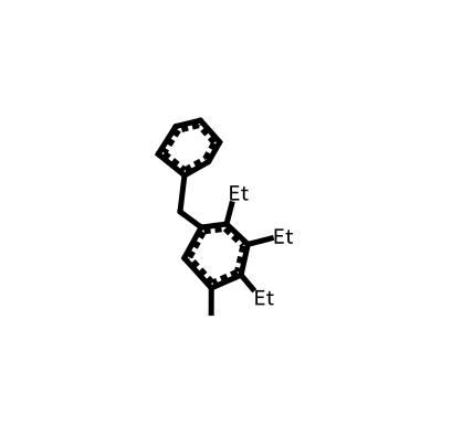 CCc1c(C)cc(Cc2ccccc2)c(CC)c1CC